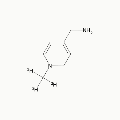 [2H]C([2H])([2H])N1C=CC(CN)=CC1